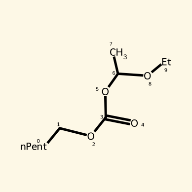 CCCCCCOC(=O)OC(C)OCC